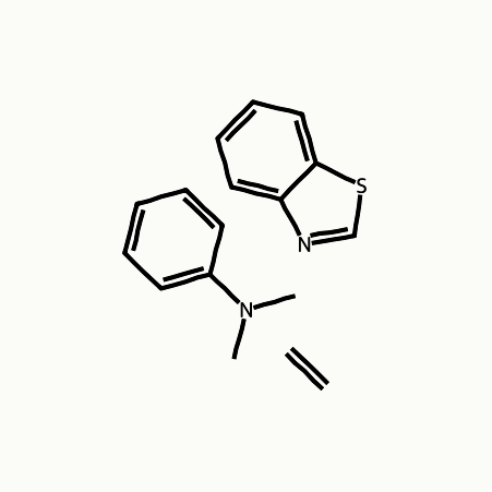 C=C.CN(C)c1ccccc1.c1ccc2scnc2c1